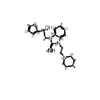 N=c1n(CCN2CCCCC2)c2ccccc2n1CC(O)c1cccs1